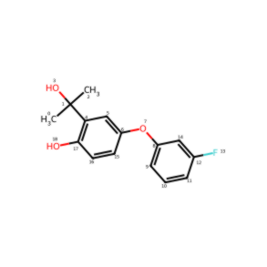 CC(C)(O)c1cc(Oc2cccc(F)c2)ccc1O